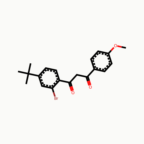 COc1ccc(C(=O)CC(=O)c2ccc(C(C)(C)C)cc2Br)cc1